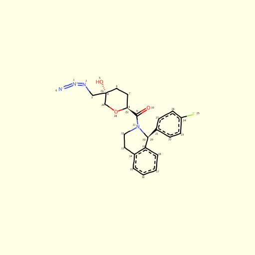 [N-]=[N+]=NC[C@@]1(O)CC[C@@H](C(=O)N2CCc3ccccc3[C@@H]2c2ccc(F)cc2)OC1